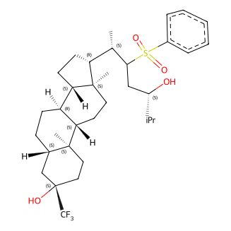 CC(C)[C@@H](O)CC([C@@H](C)[C@H]1CC[C@H]2[C@@H]3CC[C@H]4C[C@](O)(C(F)(F)F)CC[C@]4(C)[C@H]3CC[C@]12C)S(=O)(=O)c1ccccc1